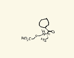 O=C(O)CSCN[C@@H](CS)C(=O)C1CCCCCC1